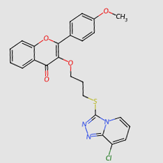 COc1ccc(-c2oc3ccccc3c(=O)c2OCCCSc2nnc3c(Cl)cccn23)cc1